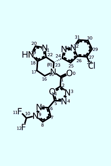 O=C(c1nnc(-c2ccn(C(F)F)n2)o1)N1CCc2[nH]cnc2[C@@H]1c1cc2c(Cl)cccn2n1